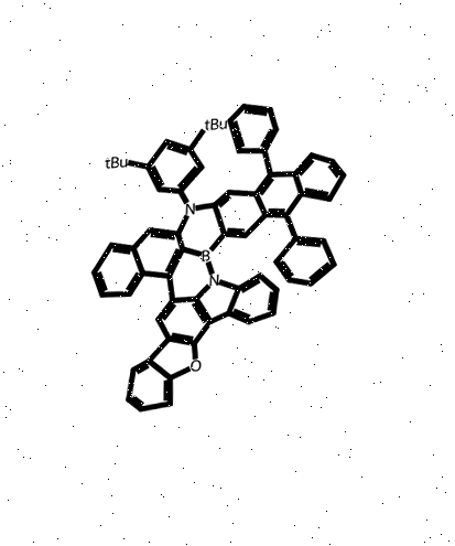 CC(C)(C)c1cc(N2c3cc4c(-c5ccccc5)c5ccccc5c(-c5ccccc5)c4cc3B3c4c2cc2ccccc2c4-c2cc4c5ccccc5oc4c4c5ccccc5n3c24)cc(C(C)(C)C)c1